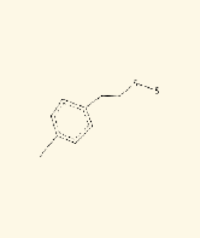 Cc1ccc(CCS[S])cc1